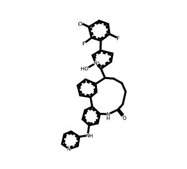 O=C1CCCCC(c2ccc(-c3c(F)ccc(Cl)c3F)c[n+]2O)c2cccc(c2)-c2ccc(Nc3cccnc3)cc2N1